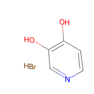 Br.Oc1ccncc1O